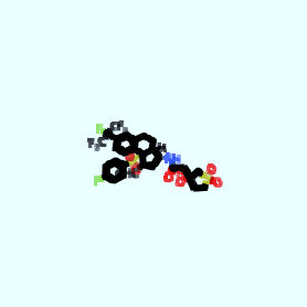 O=CC1C[C@@H](NC(=O)CC2(O)CCS(=O)(=O)C2)[C@@H]2CCc3cc(C(F)(C(F)(F)F)C(F)(F)F)ccc3[C@@]12S(=O)(=O)c1ccc(F)cc1